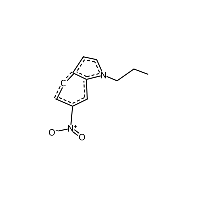 CCCn1ccc2ccc([N+](=O)[O-])cc21